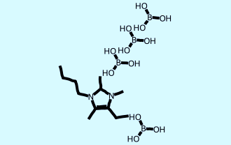 CCCCN1C(C)=C(CC)N(C)C1C.OB(O)O.OB(O)O.OB(O)O.OB(O)O